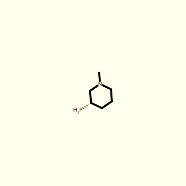 CN1CCC[C@H](P)C1